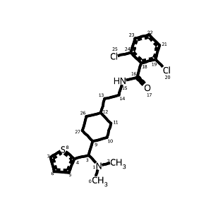 CN(C)C(c1cccs1)C1CCC(CCNC(=O)c2c(Cl)cccc2Cl)CC1